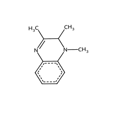 CC1=Nc2ccccc2N(C)C1C